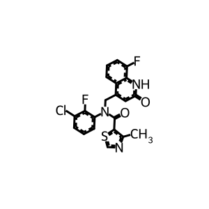 Cc1ncsc1C(=O)N(Cc1cc(=O)[nH]c2c(F)cccc12)c1cccc(Cl)c1F